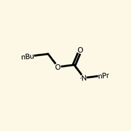 CCCCCOC(=O)[N]CCC